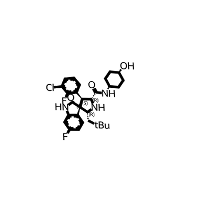 CC(C)(C)C[C@H]1N[C@@H](C(=O)N[C@H]2CC[C@H](O)CC2)[C@H](c2cccc(Cl)c2F)[C@@]12C(=O)Nc1cc(F)ccc12